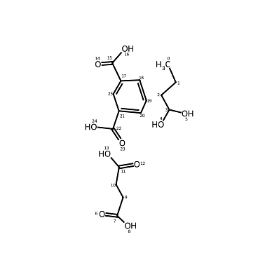 CCCC(O)O.O=C(O)CCC(=O)O.O=C(O)c1cccc(C(=O)O)c1